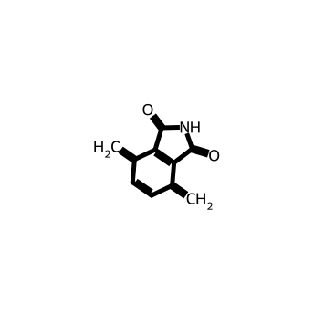 C=c1ccc(=C)c2c1C(=O)NC2=O